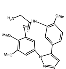 COc1ccc(-c2cnnn2-c2cc(O)c(OC)c(OC)c2)cc1NC(=O)CN